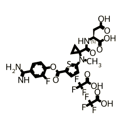 CN(c1ccc(C(=O)Oc2ccc(C(=N)N)cc2F)s1)C1(C(=O)N[C@@H](CC(=O)O)C(=O)O)CC1.O=C(O)C(F)(F)F.O=C(O)C(F)(F)F